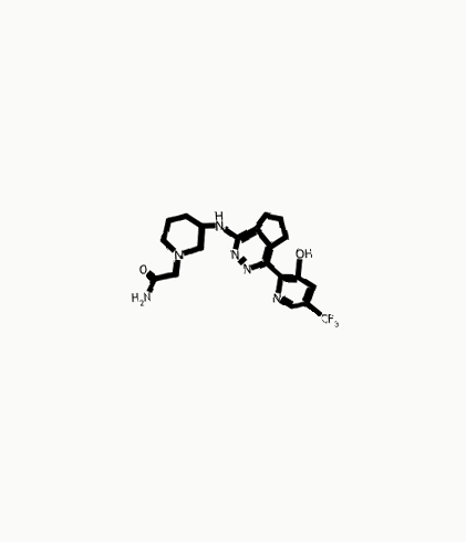 NC(=O)CN1CCCC(Nc2nnc(-c3ncc(C(F)(F)F)cc3O)c3c2CCC3)C1